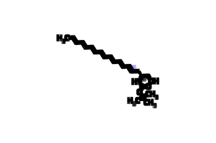 CCCCCCCCCCCCC/C=C/C[C@H](CO)NC(=O)OC(C)(C)C